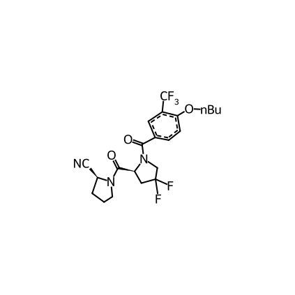 CCCCOc1ccc(C(=O)N2CC(F)(F)C[C@H]2C(=O)N2CCC[C@H]2C#N)cc1C(F)(F)F